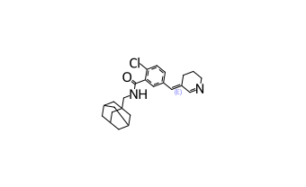 O=C(NCC12CC3CC(CC(C3)C1)C2)c1cc(/C=C2/C=NCCC2)ccc1Cl